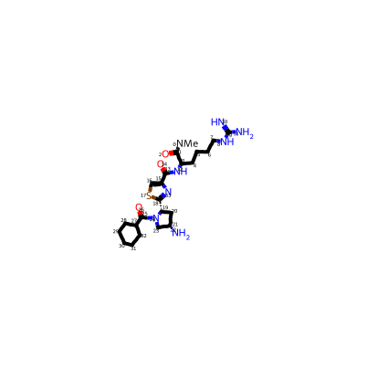 CNC(=O)C(CCCCNC(=N)N)NC(=O)c1csc([C@@H]2C[C@@H](N)CN2C(=O)C2CCCCC2)n1